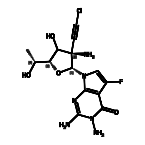 C[C@@H](O)[C@H]1O[C@@H](n2cc(F)c3c(=O)n(N)c(N)nc32)[C@@](N)(C#CCl)C1O